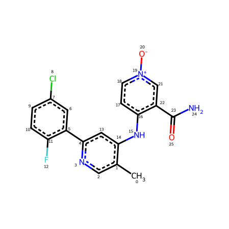 Cc1cnc(-c2cc(Cl)ccc2F)cc1Nc1cc[n+]([O-])cc1C(N)=O